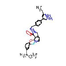 C=C(C)c1ccc(Oc2nccc3c2C(=O)N(Cc2ccc(C4=CNNC(C)=C4)cc2)C3)c(F)c1